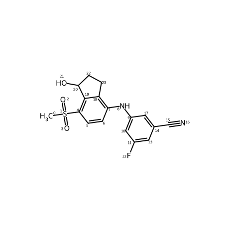 CS(=O)(=O)c1ccc(Nc2cc(F)cc(C#N)c2)c2c1C(O)CC2